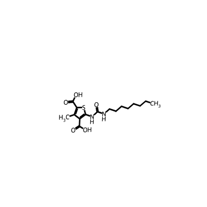 CCCCCCCCNC(=O)Nc1sc(C(=O)O)c(C)c1C(=O)O